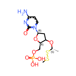 CSS[C@@H](C)OC1C[C@H](n2ccc(N)nc2=O)O[C@@H]1COP(=O)(O)O